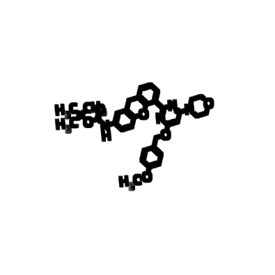 COc1ccc(COc2cc(N3CCOCC3)nc(-c3cccc4c3Oc3ccc(NC(=O)OC(C)(C)C)cc3C4)n2)cc1